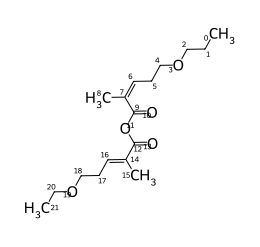 CCCOCCC=C(C)C(=O)OC(=O)C(C)=CCCOCC